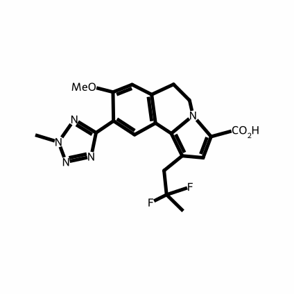 COc1cc2c(cc1-c1nnn(C)n1)-c1c(CC(C)(F)F)cc(C(=O)O)n1CC2